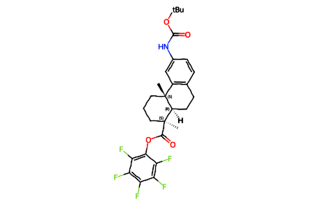 CC(C)(C)OC(=O)Nc1ccc2c(c1)[C@@]1(C)CCC[C@](C)(C(=O)Oc3c(F)c(F)c(F)c(F)c3F)[C@@H]1CC2